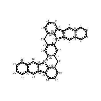 c1ccc2cc3c(cc2c1)c1cccc2c1n3-c1cc3c(cc1C2)-n1c2cc4ccccc4cc2c2cccc(c21)C3